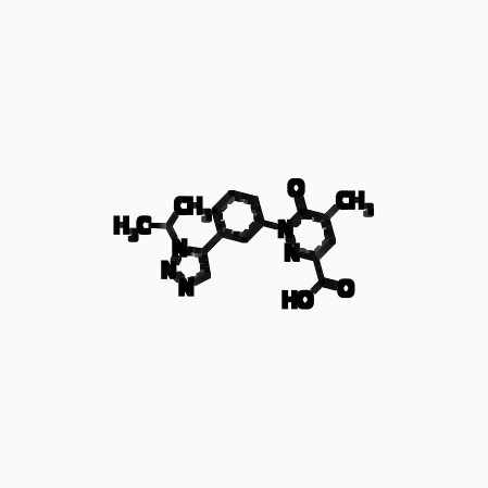 Cc1cc(C(=O)O)nn(-c2cccc(-c3cnnn3C(C)C)c2)c1=O